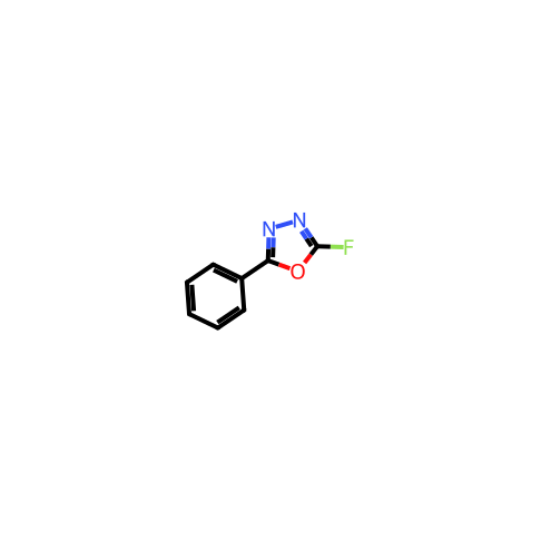 Fc1nnc(-c2ccccc2)o1